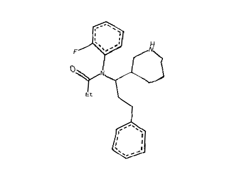 CCC(=O)N(c1ccccc1F)C(CCc1ccccc1)C1CCCNC1